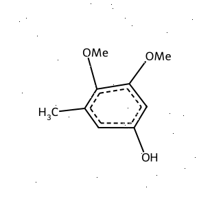 COc1cc(O)cc(C)c1OC